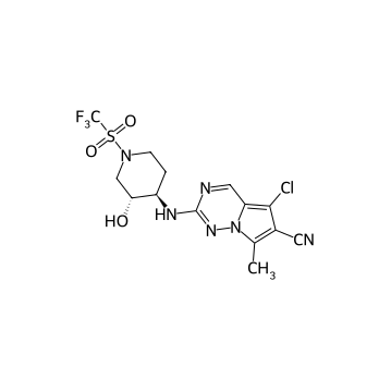 Cc1c(C#N)c(Cl)c2cnc(N[C@@H]3CCN(S(=O)(=O)C(F)(F)F)C[C@H]3O)nn12